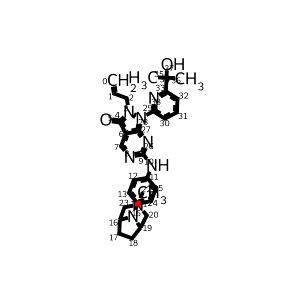 C=CCn1c(=O)c2cnc(Nc3ccc(N4C5CCC4CN(C)C5)cc3)nc2n1-c1cccc(C(C)(C)O)n1